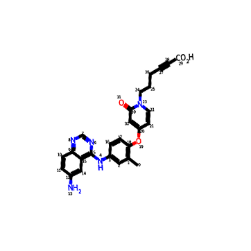 Cc1cc(Nc2ncnc3ccc(N)cc23)ccc1Oc1ccn(CCCC#CC(=O)O)c(=O)c1